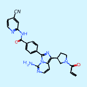 C=CC(=O)N1CCC(c2nc(-c3ccc(C(=O)Nc4cc(C#N)ccn4)cc3)n3c(N)nccc23)C1